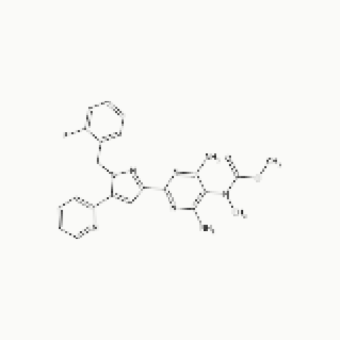 COC(=O)N(C)c1c(N)nc(-c2cc(-c3ccccn3)n(Cc3ccccc3F)n2)nc1N